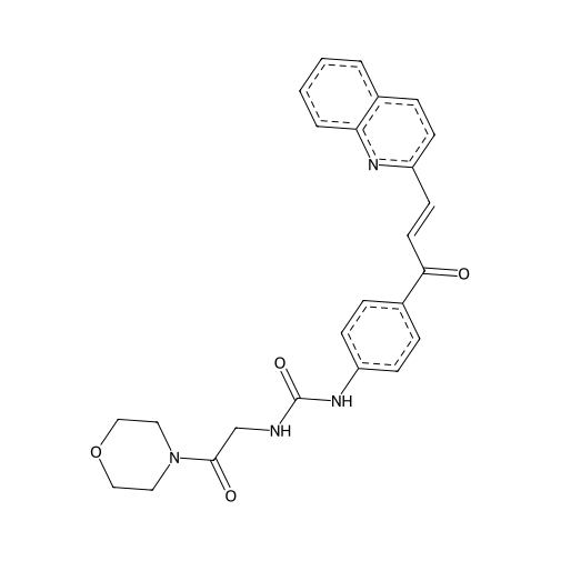 O=C(NCC(=O)N1CCOCC1)Nc1ccc(C(=O)C=Cc2ccc3ccccc3n2)cc1